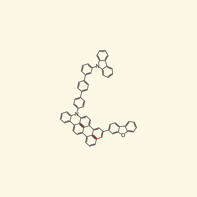 c1ccc(-c2ccc(-c3ccccc3N(c3ccc(-c4ccc(-c5cccc(-n6c7ccccc7c7ccccc76)c5)cc4)cc3)c3ccc(-c4cccc(-c5ccc6c(c5)oc5ccccc56)c4)cc3)cc2)cc1